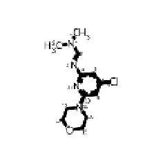 CN(C)C=Nc1cc(Cl)cc(N2CCOCC2)n1